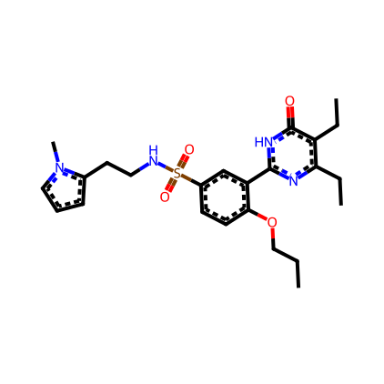 CCCOc1ccc(S(=O)(=O)NCCc2cccn2C)cc1-c1nc(CC)c(CC)c(=O)[nH]1